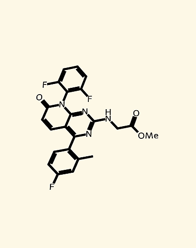 COC(=O)CNc1nc(-c2ccc(F)cc2C)c2ccc(=O)n(-c3c(F)cccc3F)c2n1